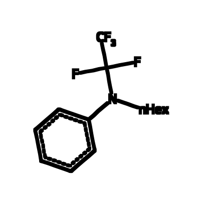 CCCCCCN(c1ccccc1)C(F)(F)C(F)(F)F